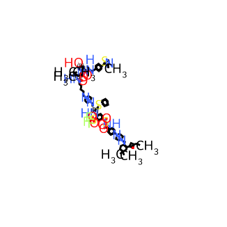 CCC12CC(C3=C(CN4CCN(c5ccc(C(=O)NS(=O)(=O)c6ccc(N[C@H](CCN7CCN(CCCCCC(=O)N[C@H](C(=O)N8C[C@H](O)C[C@H]8C(=O)NCc8ccc(-c9scnc9C)cc8)C(C)(C)C)CC7)CSc7ccccc7)c(S(=O)(=O)C(F)(F)F)c6)cc5)CC4)CCC(C)(C)C3)(C1)C2